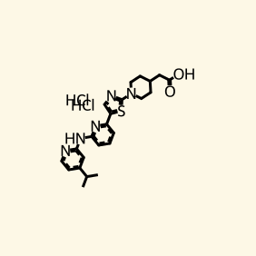 CC(C)c1ccnc(Nc2cccc(-c3cnc(N4CCC(CC(=O)O)CC4)s3)n2)c1.Cl.Cl